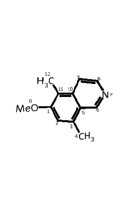 COc1cc(C)c2cnccc2c1C